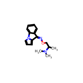 CC(CON=C1c2ccccc2-n2cccc21)N(C)C